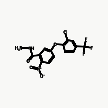 NNC(=O)c1cc(Oc2ccc(C(F)(F)F)cc2Cl)ccc1[N+](=O)[O-]